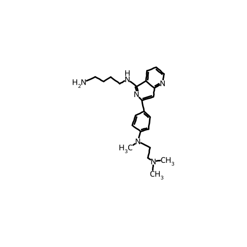 CN(C)CCN(C)c1ccc(-c2cc3ncccc3c(NCCCCN)n2)cc1